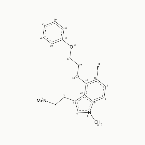 CNCCc1cn(C)c2ccc(F)c(OCCOc3ccccc3)c12